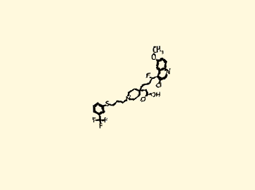 COc1ccc2ncc(Cl)c([C@H](F)CCC3(CC(=O)O)CCN(CCCSc4cccc(C(F)(F)F)c4)CC3)c2c1